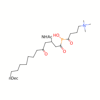 CCCCCCCCCCCCCCCCCC(=O)CC(CC(=O)P(O)C(=O)CCC[N+](C)(C)C)NC(C)=O